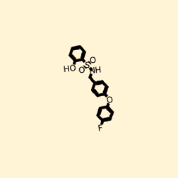 O=S(=O)(NCc1ccc(Oc2ccc(F)cc2)cc1)c1ccccc1O